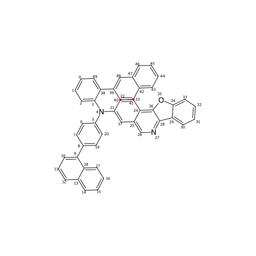 c1ccc(N(c2ccc(-c3cccc4ccccc34)cc2)c2ccc3c(cnc4c5ccccc5oc34)c2)c(-c2ccc3ccccc3c2)c1